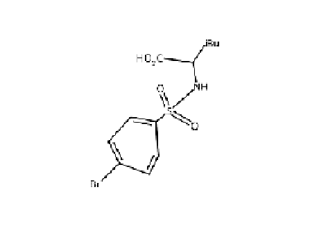 CCC(C)C(NS(=O)(=O)c1ccc(Br)cc1)C(=O)O